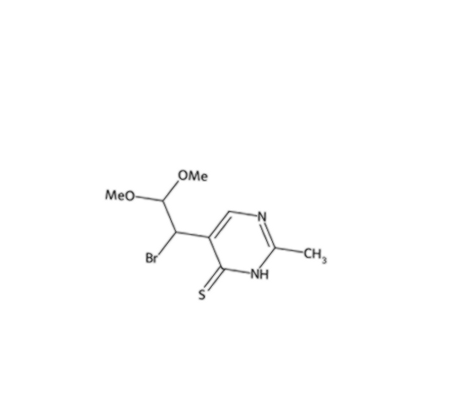 COC(OC)C(Br)c1cnc(C)[nH]c1=S